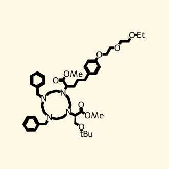 CCOCCOCCOc1ccc(CCCC(C(=O)OC)N2CCN(Cc3ccccc3)CCN(Cc3ccccc3)CCN([C@H](COC(C)(C)C)C(=O)OC)CC2)cc1